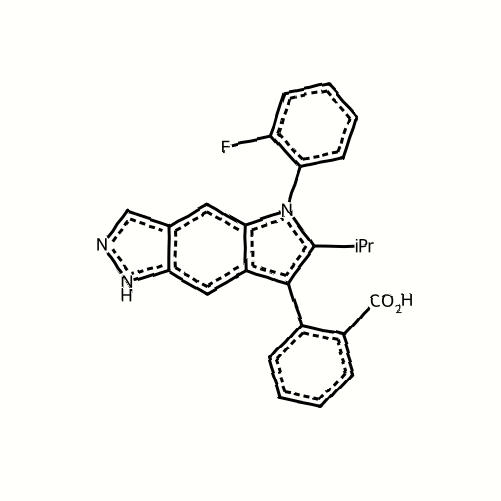 CC(C)c1c(-c2ccccc2C(=O)O)c2cc3[nH]ncc3cc2n1-c1ccccc1F